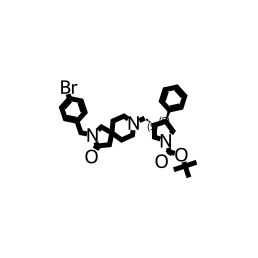 CC(C)(C)OC(=O)N1C[C@H](CN2CCC3(CC2)CC(=O)N(Cc2ccc(Br)cc2)C3)[C@@H](c2ccccc2)C1